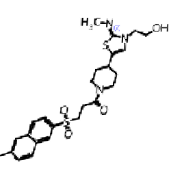 C/N=c1\sc(C2CCN(C(=O)CCS(=O)(=O)c3ccc4cc(Cl)ccc4c3)CC2)cn1CCO